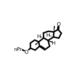 CCCOC1CC[C@@]2(C)C(=CC[C@@H]3[C@@H]2CC[C@]2(C)C(=O)CC[C@@H]32)C1